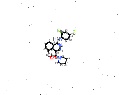 CCc1cccc2c(Nc3ccc(F)cc3F)ncc(C(=O)N3CCCCC3)c12